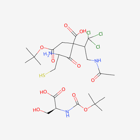 CC(=O)NCC(C(Cl)(Cl)Cl)C(CC(=O)OC(C)(C)C)(C(=O)O)C(=O)C(N)CS.CC(C)(C)OC(=O)N[C@@H](CO)C(=O)O